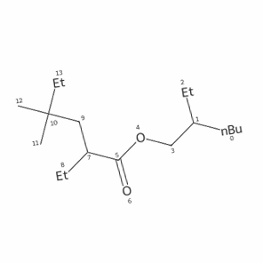 CCCCC(CC)COC(=O)C(CC)CC(C)(C)CC